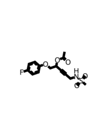 CC(=O)OC(C#CCNS(C)(=O)=O)COc1ccc(F)cc1